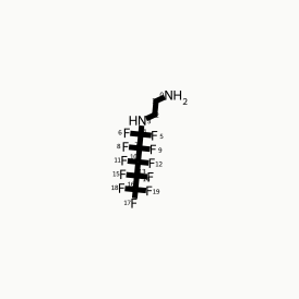 NCCNC(F)(F)C(F)(F)C(F)(F)C(F)(F)C(F)(F)F